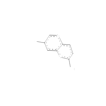 Cc1cnc2ccc(C)nc2c1